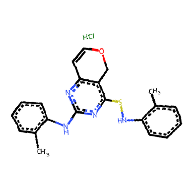 Cc1ccccc1NSc1nc(Nc2ccccc2C)nc2c1COC=C2.Cl